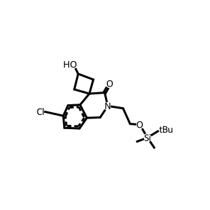 CC(C)(C)[Si](C)(C)OCCN1Cc2ccc(Cl)cc2C2(CC(O)C2)C1=O